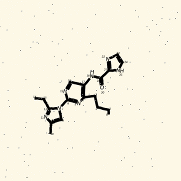 CCCCc1nc(-n2cc(C)nc2CC)ncc1NC(=O)c1ncc[nH]1